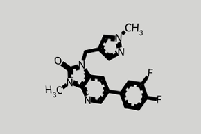 Cn1cc(Cn2c(=O)n(C)c3ncc(-c4ccc(F)c(F)c4)cc32)cn1